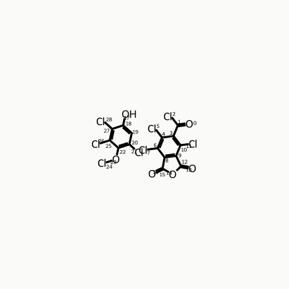 O=C(Cl)c1c(Cl)c(Cl)c2c(c1Cl)C(=O)OC2=O.Oc1cc(Cl)c(OCl)c(Cl)c1Cl